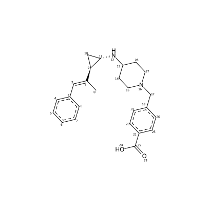 C/C(=C\c1ccccc1)[C@H]1C[C@@H]1NC1CCN(Cc2ccc(C(=O)O)cc2)CC1